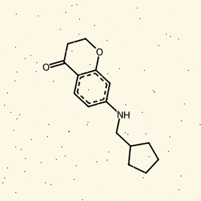 O=C1CCOc2cc(NCC3CCCC3)ccc21